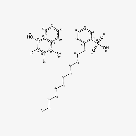 CCCCCCCCCCCCc1ccccc1S(=O)(=O)O.Cc1c(C)c(S)c2ccccc2c1O